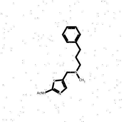 CC(=O)Nc1ncc(CN(C)CCCc2ccccc2)s1